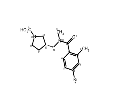 Cc1cc(Br)ccc1C(=O)N(C)C[C@@H]1CCN(C(=O)O)C1